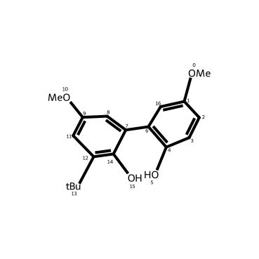 COc1ccc(O)c(-c2cc(OC)cc(C(C)(C)C)c2O)c1